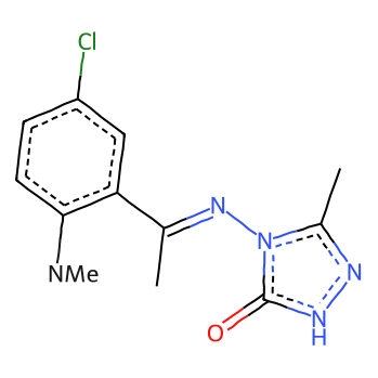 CNc1ccc(Cl)cc1/C(C)=N/n1c(C)n[nH]c1=O